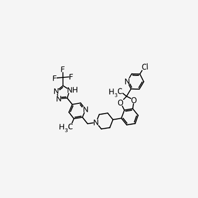 Cc1cc(-c2nnc(C(F)(F)F)[nH]2)cnc1CN1CCC(c2cccc3c2OC(C)(c2ccc(Cl)cn2)O3)CC1